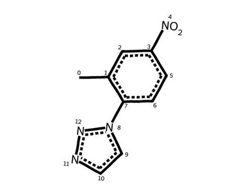 Cc1cc([N+](=O)[O-])ccc1-n1ccnn1